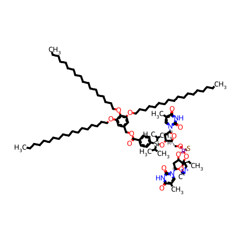 [C-]#[N+]CCOP(=S)(OC[C@H]1O[C@@H](n2cc(C)c(=O)[nH]c2=O)CC1O[Si](c1ccc(C(=O)OCc2cc(OCCCCCCCCCCCCCCCCCC)c(OCCCCCCCCCCCCCCCCCC)c(OCCCCCCCCCCCCCCCCCC)c2)cc1)(C(C)C)C(C)C)OC1C[C@H](n2cc(C)c(=O)[nH]c2=O)O[C@@H]1CC